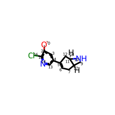 COc1cc(C2=CC[C@@H]3CN[C@@H]3C2)cnc1Cl